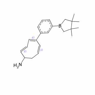 CC1(C)CB(c2cccc(C3=C/C=C/C(N)C/C=C\3)c2)CC1(C)C